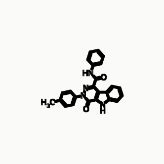 Cc1ccc(-n2nc(C(=O)Nc3ccccc3)c3c([nH]c4ccccc43)c2=O)cc1